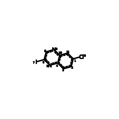 Clc1ccc2nc(I)cnc2c1